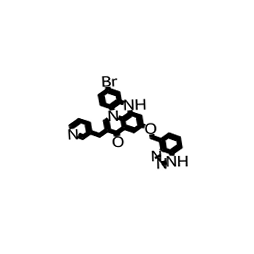 O=c1c(Cc2cccnc2)cn2c3c(cc(OCc4cccc5[nH]nnc45)cc13)Nc1cc(Br)ccc1-2